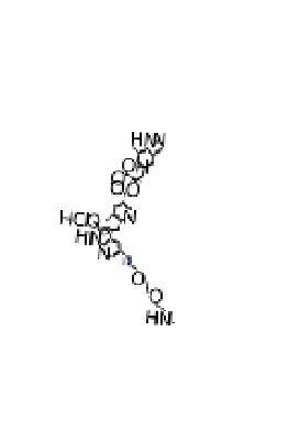 CNCCOCCOC/C=C/c1cnc2c(c1)[C@@]1(Cc3cc(C(=O)O[C@H](Cc4cc(C)c5[nH]ncc5c4)C(=O)O)cnc3C1)C(=O)N2.Cl